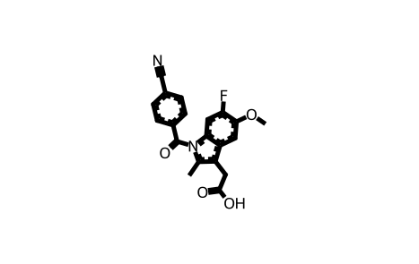 COc1cc2c(CC(=O)O)c(C)n(C(=O)c3ccc(C#N)cc3)c2cc1F